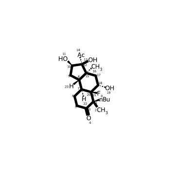 CCCC[C@@]1(C)C(=O)CC[C@H]2[C@@H]3C[C@@H](O)[C@](O)(C(C)=O)[C@@]3(C)C[C@H](O)[C@@]21F